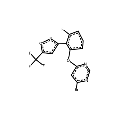 Fc1cccc(Oc2cc(Br)ncn2)c1-c1cc(C(F)(F)F)on1